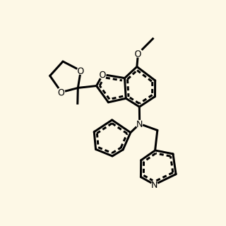 COc1ccc(N(Cc2ccncc2)c2ccccc2)c2cc(C3(C)OCCO3)oc12